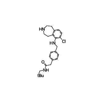 CC(C)(C)CNC(=O)Cc1ccc(CNc2c(Cl)ccc3c2CCNCC3)cc1